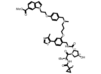 COC(=O)c1ccc2ccn(CCOc3ccc(CN(C)CCCOc4cc(-c5scnc5C)ccc4CNC(=O)[C@@H]4C[C@@H](O)CN4C(=O)[C@@H](NC(=O)C4(F)CC4)C(C)(C)C)cc3)c2c1